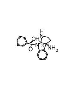 N[C@]12CCN[C@H]1N(S(=O)(=O)c1ccccc1)c1ccccc12